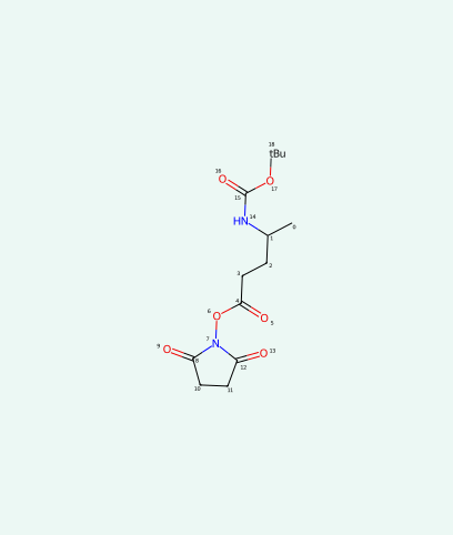 CC(CCC(=O)ON1C(=O)CCC1=O)NC(=O)OC(C)(C)C